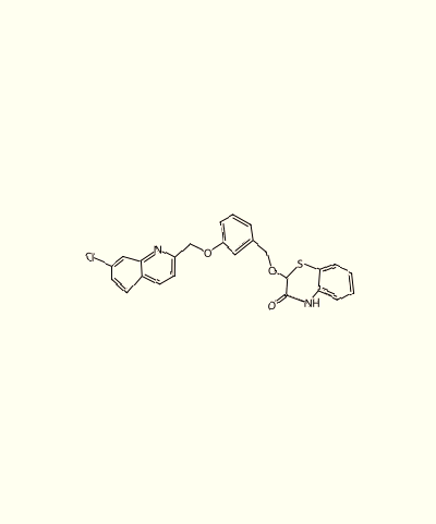 O=C1Nc2ccccc2SC1OCc1cccc(OCc2ccc3ccc(Cl)cc3n2)c1